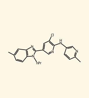 CCCn1c(-c2cnc(Nc3ccc(C)nc3)c(Cl)c2)nc2cc(C)ccc21